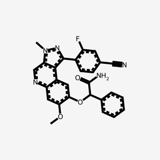 COc1cc2ncc3c(c(-c4ccc(C#N)cc4F)nn3C)c2cc1OC(C(N)=O)c1ccccc1